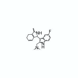 C=C1NC(c2c(CN(C)C)[nH]c3ccc(F)cc23)C2=C1CCC=C2